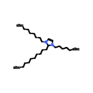 CCCCCCCCCCCCCCCCCCCC1N(CCCCCCCCCCCCCCC)C=CN1CCCCCCCCCCCCCCCCC